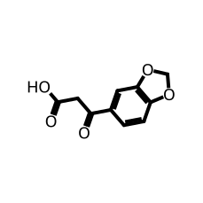 O=C(O)CC(=O)c1ccc2c(c1)OCO2